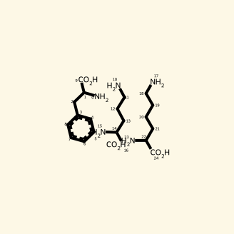 NC(Cc1ccccc1)C(=O)O.NCCCC(N)C(=O)O.NCCCCC(N)C(=O)O